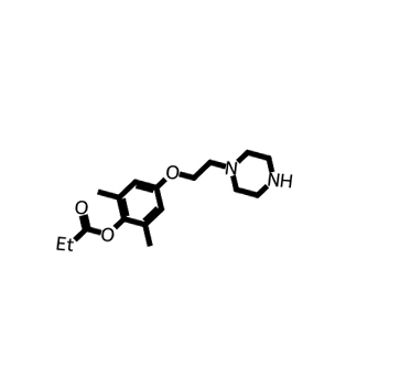 CCC(=O)Oc1c(C)cc(OCCN2CCNCC2)cc1C